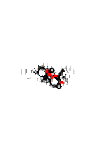 CCC1(O)C[C@@H](C)C[C@](C(=O)OC)(c2cc3c(cc2OC)N(C)C2CC4N(CC=C[C@@]4(CC)[C@@H](O)[C@]2(O)C(=O)NCC(C)O)CCC3)c2[nH]c3ccccc3c2CCN(C)C1